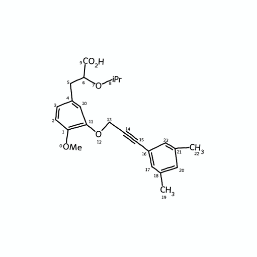 COc1ccc(CC(OC(C)C)C(=O)O)cc1OCC#Cc1cc(C)cc(C)c1